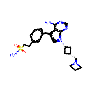 Nc1ncnc2c1c(-c1cccc(CCS(N)(=O)=O)c1)cn2[C@H]1C[C@@H](CN2CCC2)C1